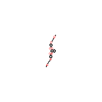 C=COCCCCCOc1ccc(C(=O)Oc2ccc(OC(=O)c3ccc(OCCCCCOC=C)cc3)c3ccccc23)cc1